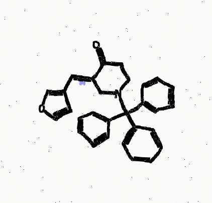 O=C1CCN(C(c2ccccc2)(c2ccccc2)c2ccccc2)C/C1=C\c1ccoc1